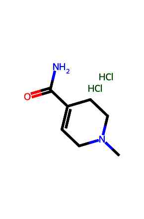 CN1CC=C(C(N)=O)CC1.Cl.Cl